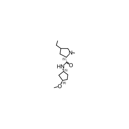 CCC1C[C@@H](C(=O)N[C@H]2CC[C@@H](OC)C2)N(C)C1